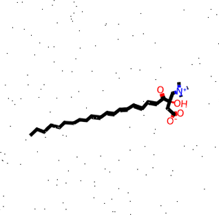 CCCCCCCCCC=CC=CC=CC=CC=CC(=O)[C@@](O)(CC(=O)[O-])C[N+](C)(C)C